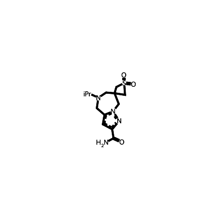 CC(C)N1Cc2cc(C(N)=O)nn2CC2(C1)CS(=O)(=O)C2